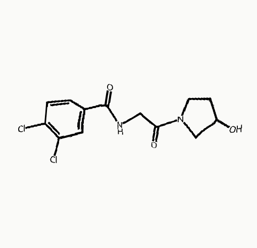 O=C(NCC(=O)N1CCC(O)C1)c1ccc(Cl)c(Cl)c1